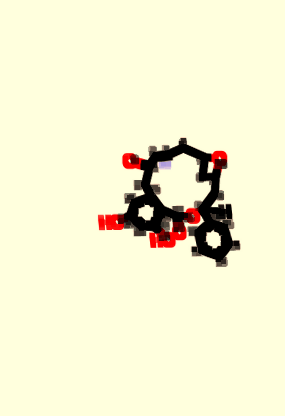 O=C1/C=C/CC2CC(C[C@H](c3ccccc3)OC(=O)c3c(O)cc(O)cc3C1)O2